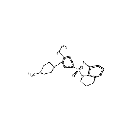 COc1ccc(S(=O)(=O)N2CCCc3cccc(F)c32)cc1N1CCN(C)CC1